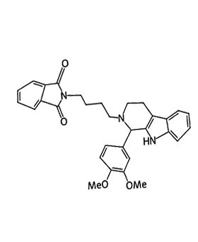 COc1ccc(C2c3[nH]c4ccccc4c3CCN2CCCCN2C(=O)c3ccccc3C2=O)cc1OC